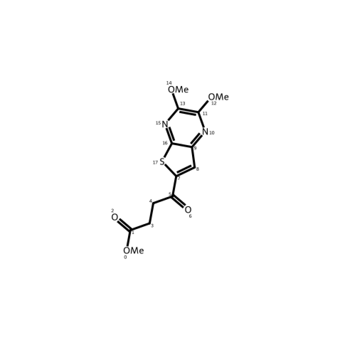 COC(=O)CCC(=O)c1cc2nc(OC)c(OC)nc2s1